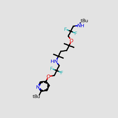 CC(C)(C)NCC(F)(F)COC(C)(C)CCC(C)(C)NCC(F)(F)COc1ccc(C(C)(C)C)nc1